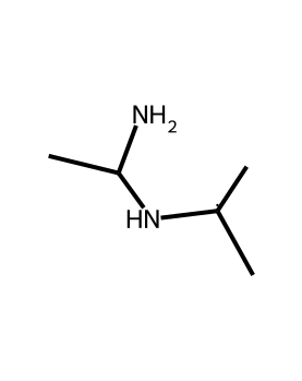 C[C](C)NC(C)N